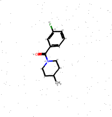 CC1CCN(C(=O)c2cccc(F)c2)CC1